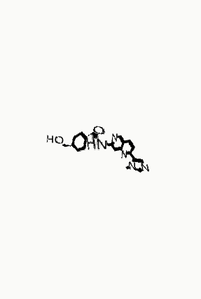 Cn1cncc1-c1ccc2cnc(NC(=O)[C@H]3CC[C@H](CO)CC3)cc2n1